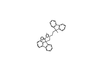 COC(=O)C1(CCCCC2(C)c3ccccc3-c3ccccc32)c2ccccc2-c2ccccc21